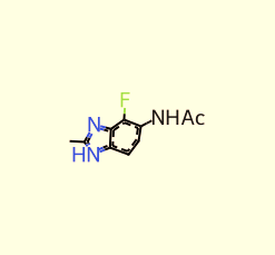 CC(=O)Nc1ccc2[nH]c(C)nc2c1F